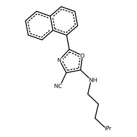 CC(C)CCCNc1oc(-c2cccc3ccccc23)nc1C#N